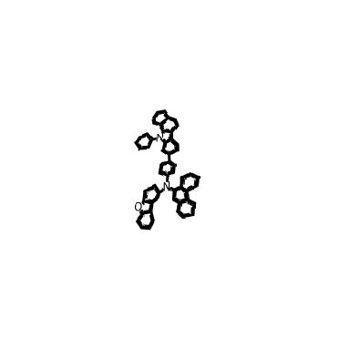 c1ccc(-n2c3cc(-c4ccc(N(c5ccc6oc7ccccc7c6c5)c5cc6ccccc6c6ccccc56)cc4)ccc3c3ccc4ccccc4c32)cc1